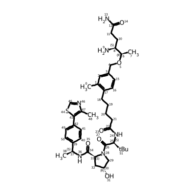 Cc1cc(CO[C@H](C)[C@@H](N)CCC(N)=O)ccc1CCCCC(=O)N[C@H](C(=O)N1C[C@H](O)C[C@H]1C(=O)N[C@@H](C)c1ccc(-c2scnc2C)cc1)C(C)(C)C